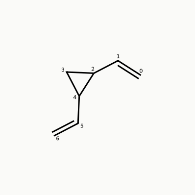 C=CC1CC1C=C